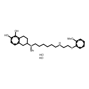 CCCN(CCCCCCNCCSc1ccccc1OC)C1CCc2c(ccc(O)c2O)C1.Cl.Cl